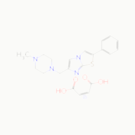 CN1CCN(Cc2cn3cc(-c4ccccc4)sc3n2)CC1.O=C(O)/C=C\C(=O)O